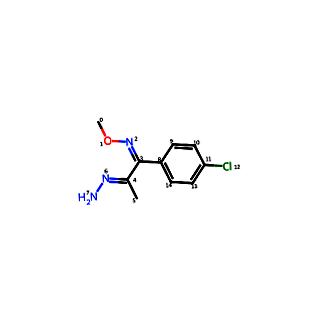 CO/N=C(\C(C)=N\N)c1ccc(Cl)cc1